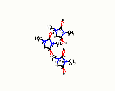 CN1CC(=O)N(C)C1=O.CN1CC(=O)N(C)C1=O.CN1CC(=O)N(C)C1=O